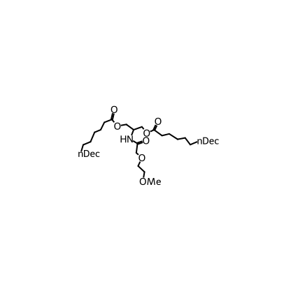 CCCCCCCCCCCCCCCC(=O)OCC(COC(=O)CCCCCCCCCCCCCCC)NC(=O)COCCOC